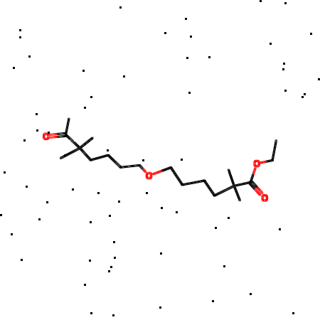 CCOC(=O)C(C)(C)CCCCOCCCCC(C)(C)C(C)=O